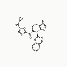 O=C(c1nnc(NC2CC2)o1)N1CCc2[nH]cnc2[C@H]1c1cc2ccccc2cn1